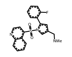 CNCc1cc(-c2ccccc2F)n(S(=O)(=O)c2ccnc3ccccc23)c1